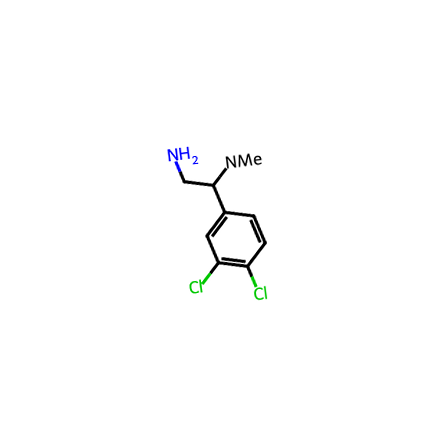 CNC(CN)c1ccc(Cl)c(Cl)c1